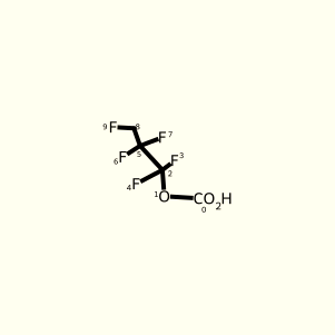 O=C(O)OC(F)(F)C(F)(F)CF